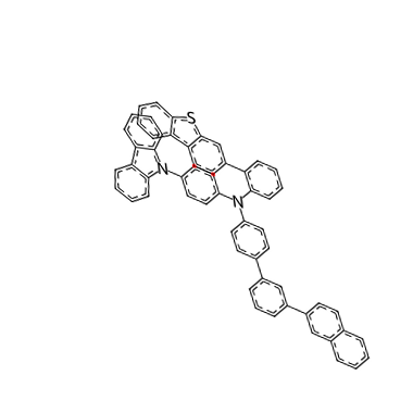 c1cc(-c2ccc(N(c3ccc(-n4c5ccccc5c5ccccc54)cc3)c3ccccc3-c3ccc4c(c3)sc3ccccc34)cc2)cc(-c2ccc3ccccc3c2)c1